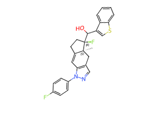 C[C@]12Cc3cnn(-c4ccc(F)cc4)c3C=C1CC[C@]2(F)C(O)c1csc2ccccc12